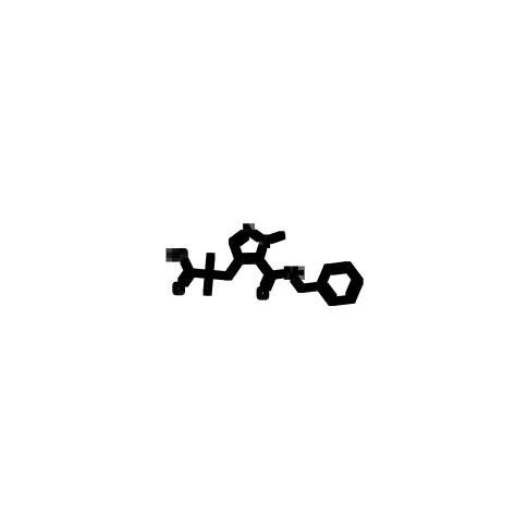 Cn1ncc(CC(C)(C)C(=O)O)c1C(=O)NCc1ccccc1